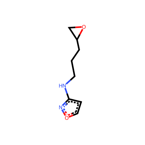 c1cc(NCCCC2CO2)no1